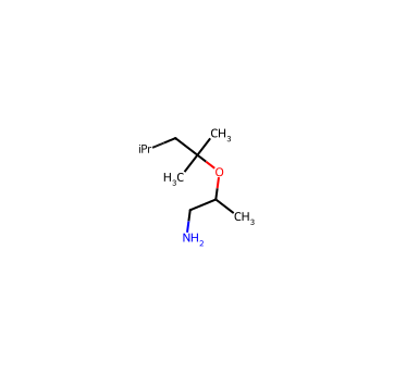 CC(C)CC(C)(C)OC(C)CN